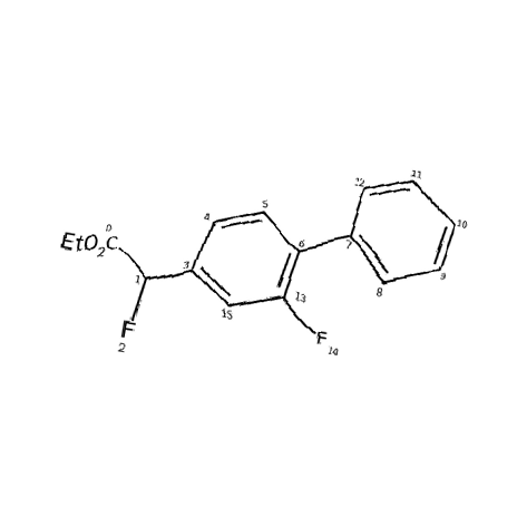 CCOC(=O)C(F)c1ccc(-c2ccccc2)c(F)c1